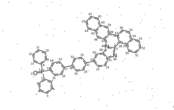 O=P(c1ccccc1)(c1ccccc1)c1ccc(-c2ccc(-c3ccc4nc5c6c7ccccc7ccc6c6cc7ccccc7cc6n5c4c3)cc2)cc1